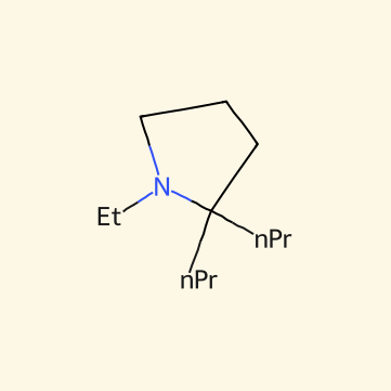 CCCC1(CCC)CCCN1CC